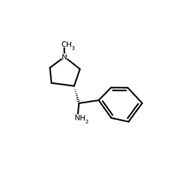 CN1CC[C@@H](C(N)c2ccccc2)C1